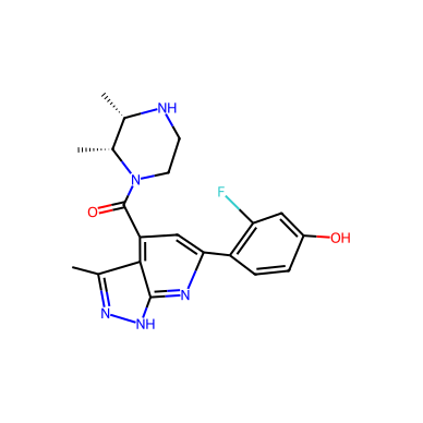 Cc1n[nH]c2nc(-c3ccc(O)cc3F)cc(C(=O)N3CCN[C@@H](C)[C@H]3C)c12